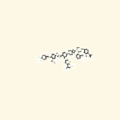 COc1cc(CN2CCN(C3CC4(CCN(c5ccc(C(=O)NS(=O)(=O)c6ccc(NCC7CCC(C)(O)CC7)c([N+](=O)[O-])c6)c(Oc6cnc7[nH]cc(Cl)c7c6)c5)CC4)C3)[C@H](c3ccccc3C(C)C)C2)ccc1C1CC1